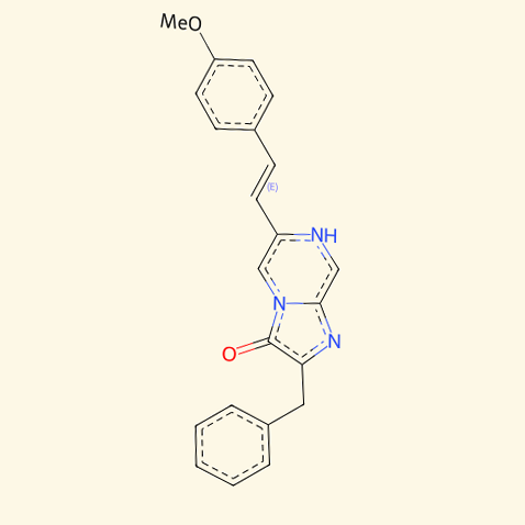 COc1ccc(/C=C/c2cn3c(=O)c(Cc4ccccc4)nc-3c[nH]2)cc1